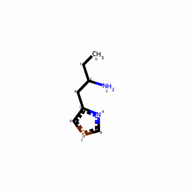 CCC(N)Cc1cscn1